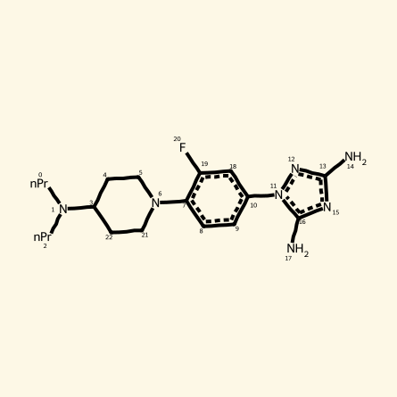 CCCN(CCC)C1CCN(c2ccc(-n3nc(N)nc3N)cc2F)CC1